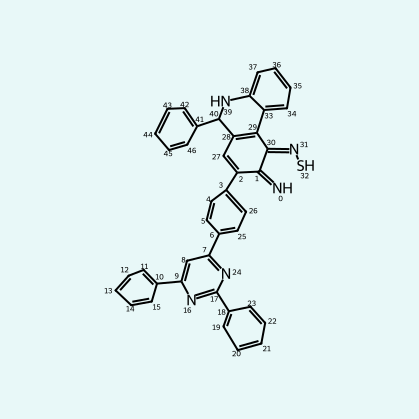 N=C1C(c2ccc(-c3cc(-c4ccccc4)nc(-c4ccccc4)n3)cc2)=CC2=C(/C1=N/S)c1ccccc1NC2c1ccccc1